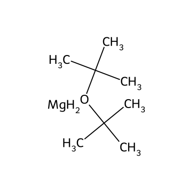 CC(C)(C)OC(C)(C)C.[MgH2]